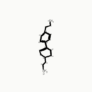 CCCc1ccc(C2=CCC(CCC)CC2)cc1